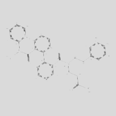 CN(C(=O)c1ccccc1-c1ccccc1C(=O)N(CCC(=O)O)CCc1cccnc1)c1ccccn1